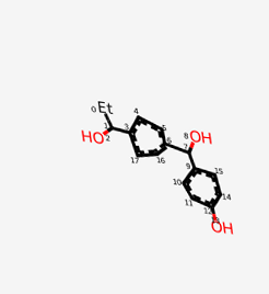 CCC(O)c1ccc(C(O)c2ccc(O)cc2)cc1